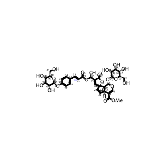 COC(=O)C1=CO[C@@H](O[C@@H]2O[C@H](CO)[C@@H](O)[C@H](O)[C@H]2O)[C@H]2[C@@H]1C=C[C@@]21C=C([C@H](C)OC(=O)/C=C/c2ccc(O[C@@H]3O[C@H](CO)[C@@H](O)[C@H](O)[C@H]3O)cc2)C(=O)O1